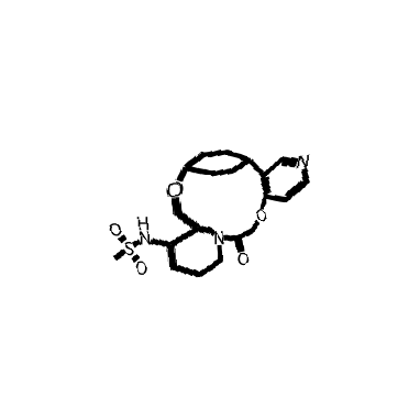 CS(=O)(=O)NC1CCCN2C(=O)COc3ccncc3C3CCC(CC3)OCC12